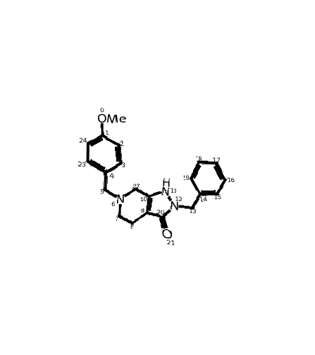 COc1ccc(CN2CCc3c([nH]n(Cc4ccccc4)c3=O)C2)cc1